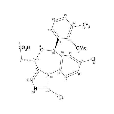 COc1c([C@@H]2O[C@@H](CC(=O)O)c3nnc(C(F)(F)F)n3-c3ccc(Cl)cc32)cccc1C(F)(F)F